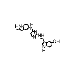 Cc1cc2cc(Nc3ccnc(NCCc4c[nH]c5ccc(O)cc45)n3)ccc2[nH]1